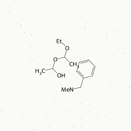 CCOC(C)OC(C)O.CNCc1ccccc1